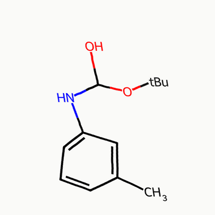 Cc1cccc(NC(O)OC(C)(C)C)c1